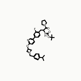 CC(C)c1ccc(CN2CC(Oc3ccc(-c4ccc(CC(NC(=O)OC(C)(C)C)C(=O)N5CCCC5)c(F)c4)cn3)C2)cc1